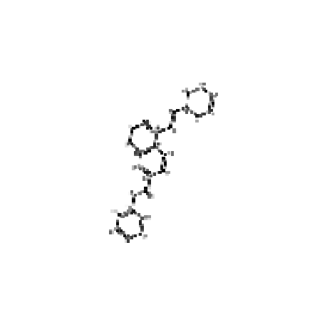 C1=CCC(/C=C/C2=NCCc3cc(OCc4ccccc4)ccc32)CC1